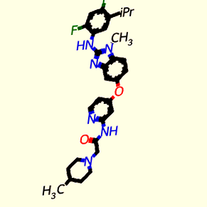 CC1CCN(CC(=O)Nc2cc(Oc3ccc4c(c3)nc(Nc3cc(C(C)C)c(F)cc3F)n4C)ccn2)CC1